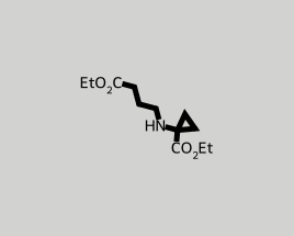 CCOC(=O)CCCNC1(C(=O)OCC)CC1